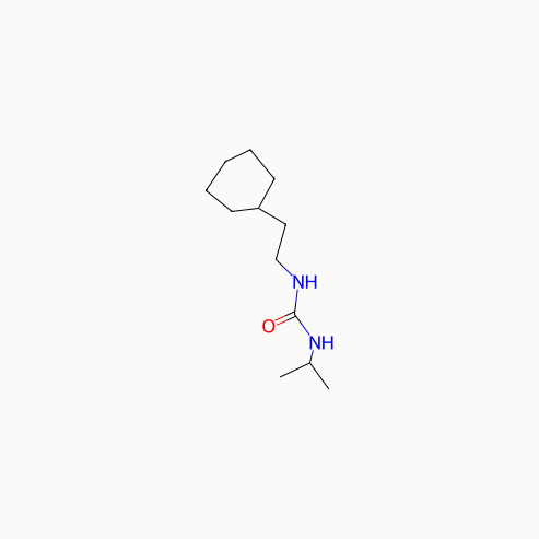 CC(C)NC(=O)NCCC1CCCCC1